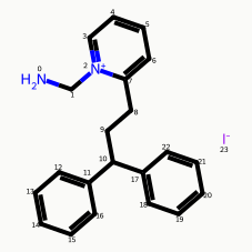 NC[n+]1ccccc1CCC(c1ccccc1)c1ccccc1.[I-]